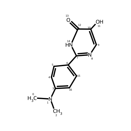 CN(C)c1ccc(-c2ncc(O)c(=O)[nH]2)cc1